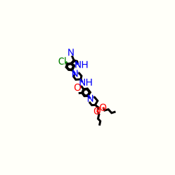 CCCCOC(OCCCC)C1CCN(c2ccc(C(=O)NC3CCN(c4ccc(Cl)c5c(C#N)c[nH]c45)CC3)c(C)c2)CC1